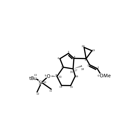 COC=CC1(C2=CCC3[C@@H](O[Si](C)(C)C(C)(C)C)CCC[C@]23C)CC1